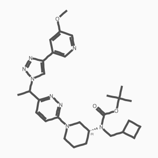 COc1cncc(-c2cn(C(C)c3ccc(N4CCC[C@@H](N(CC5CCC5)C(=O)OC(C)(C)C)C4)nn3)nn2)c1